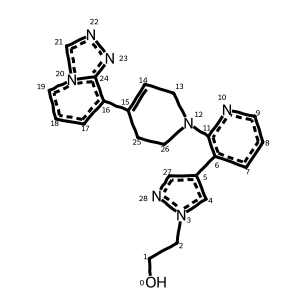 OCCn1cc(-c2cccnc2N2CC=C(c3cccn4cnnc34)CC2)cn1